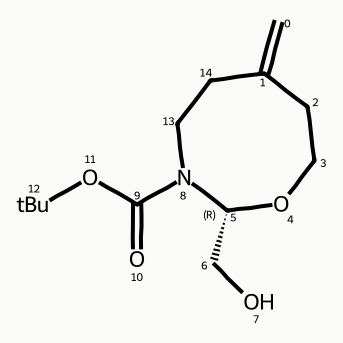 C=C1CCO[C@H](CO)N(C(=O)OC(C)(C)C)CC1